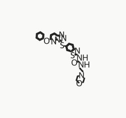 O=C(NCCN1CCOCC1)Nc1nc2ccc(Sc3nnc4ccc(Oc5ccccc5)nn34)cc2s1